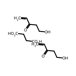 C=CC(=O)CCO.C=CC(=O)CCO.O=C(O)CCC(=O)O